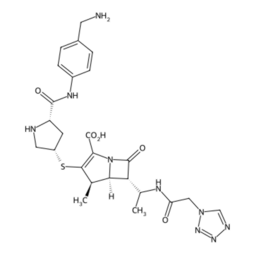 CC(NC(=O)Cn1cnnn1)[C@H]1C(=O)N2C(C(=O)O)=C(S[C@@H]3CN[C@H](C(=O)Nc4ccc(CN)cc4)C3)[C@H](C)[C@H]12